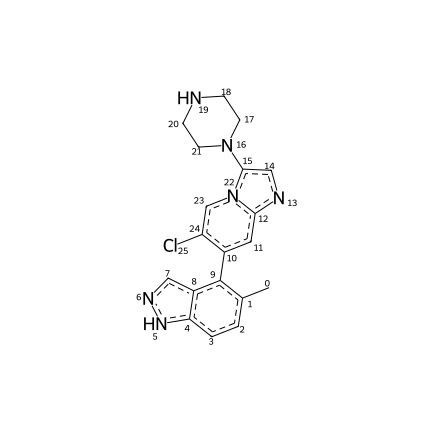 Cc1ccc2[nH]ncc2c1-c1cc2ncc(N3CCNCC3)n2cc1Cl